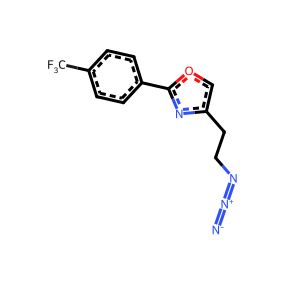 [N-]=[N+]=NCCc1coc(-c2ccc(C(F)(F)F)cc2)n1